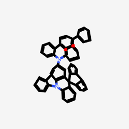 c1ccc(-c2ccc(-c3ccccc3N(c3ccccc3)c3cc4c5c(c3)c3ccccc3n5-c3ccccc3C43c4ccccc4-c4ccccc43)cc2)cc1